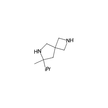 CC(C)C1(C)CC2(CNC2)CN1